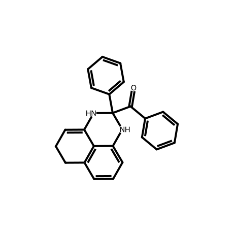 O=C(c1ccccc1)C1(c2ccccc2)NC2=CCCc3cccc(c32)N1